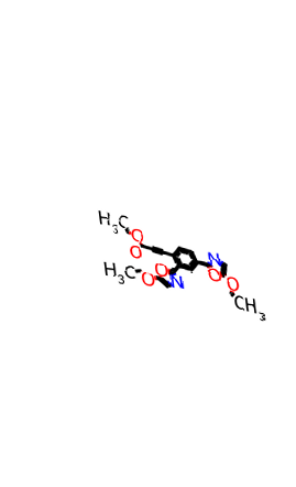 CCOC(=O)C#Cc1ccc(-c2ncc(OCC)o2)[c]c1-c1ncc(OCC)o1